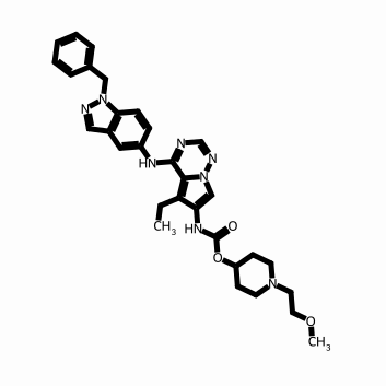 CCc1c(NC(=O)OC2CCN(CCOC)CC2)cn2ncnc(Nc3ccc4c(cnn4Cc4ccccc4)c3)c12